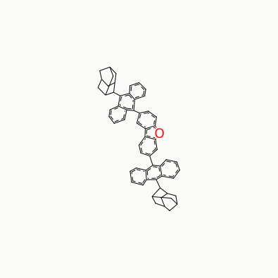 c1ccc2c(C3C4CC5CC(C4)CC3C5)c3ccccc3c(-c3ccc4c(c3)oc3ccc(-c5c6ccccc6c(C6C7CC8CC(C7)CC6C8)c6ccccc56)cc34)c2c1